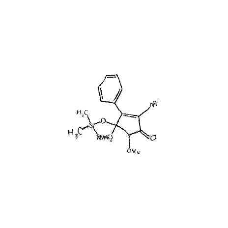 CCCC1=C(c2ccccc2)C(OC)(O[Si](C)(C)C)C(OC)C1=O